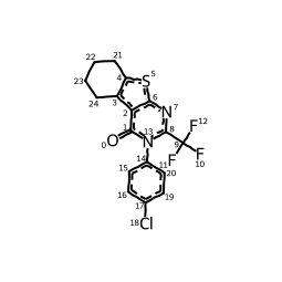 O=c1c2c3c(sc2nc(C(F)(F)F)n1-c1ccc(Cl)cc1)CCCC3